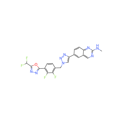 CNc1ncc2cc(-c3cn(Cc4ccc(-c5nnc(C(F)F)o5)c(F)c4F)nn3)ccc2n1